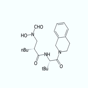 CCCC[C@H](CN(O)C=O)C(=O)N[C@H](C(=O)N1CCc2ccccc2C1)C(C)(C)C